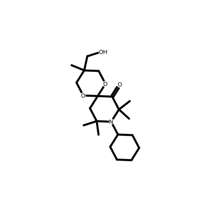 CC1(CO)COC2(CC(C)(C)N(C3CCCCC3)C(C)(C)C2=O)OC1